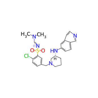 CN(C)/C=N/S(=O)(=O)c1cc(CN2CCC[C@@H](Nc3ccc4cnccc4c3)C2)ccc1Cl